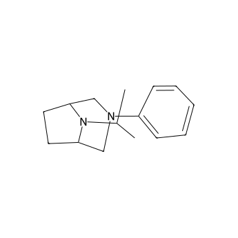 CC(C)N1C2CCC1CN(c1ccccc1)C2